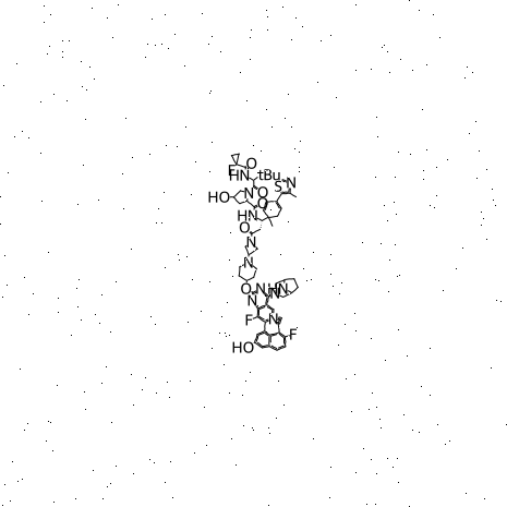 C#Cc1c(F)ccc2cc(O)cc(-c3ncc4c(N5CC6CCC(C5)N6)nc(OC5CCN(C6CN(C(=O)C[C@H](NC(=O)C7CC(O)CN7C(=O)C(NC(=O)C7(F)CC7)C(C)(C)C)C7(C)C=CC(c8scnc8C)=CC7)C6)CC5)nc4c3F)c12